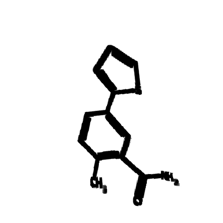 Cc1ccc(-c2cccs2)cc1C(N)=O